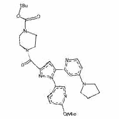 COc1ccc(-n2nc(C(=O)N3CCN(C(=O)OC(C)(C)C)CC3)cc2-c2cc(N3CCCC3)ccn2)cn1